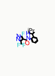 CC(C)CC(C)c1ccccc1NC(=O)c1c(C(F)F)nn(C)c1F